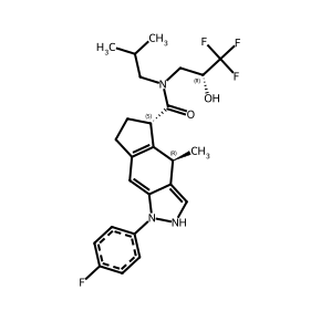 CC(C)CN(C[C@@H](O)C(F)(F)F)C(=O)[C@H]1CCC2=C1[C@@H](C)C1=CNN(c3ccc(F)cc3)C1=C2